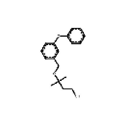 CC(C)(CCO)OCc1cccc(Oc2ccccc2)c1